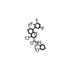 O=C(N[C@H]1CCOc2ccccc21)c1cnc2c(-c3cc(F)cc(F)c3F)c(F)ccc2c1Cl